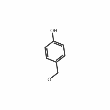 [O]Cc1ccc(O)cc1